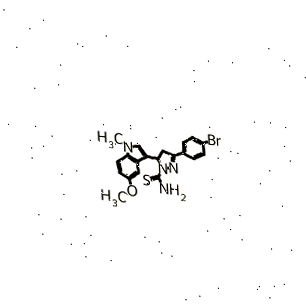 COc1ccc2c(c1)c(C1CC(c3ccc(Br)cc3)=NN1C(N)=S)cn2C